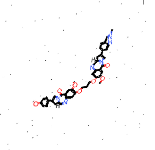 CNCc1ccc(C2=CN3C(=O)c4cc(OC)c(OCCCOc5cc6c(cc5OC)C(=O)N5C=C(c7ccc(OC)cc7)C[C@H]5C=N6)cc4N=C[C@@H]3C2)cc1